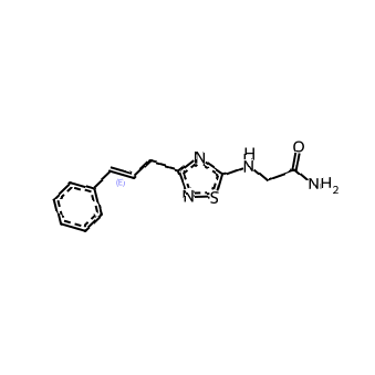 NC(=O)CNc1nc(C/C=C/c2ccccc2)ns1